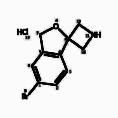 Brc1ccc2c(c1)COC21CNC1.Cl